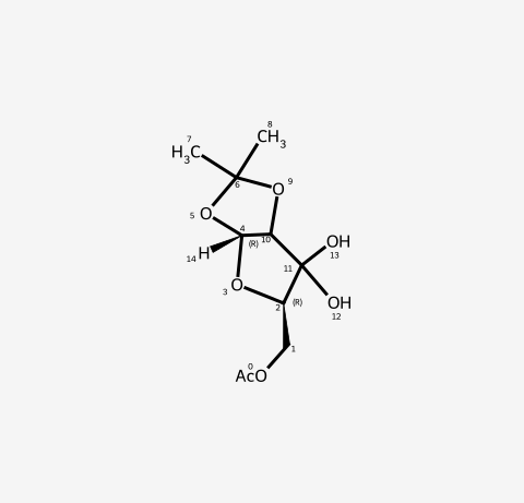 CC(=O)OC[C@H]1O[C@@H]2OC(C)(C)OC2C1(O)O